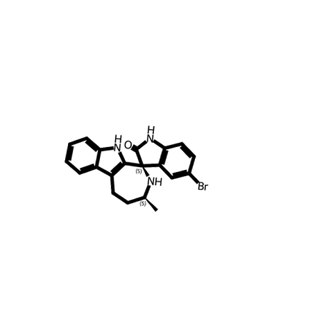 C[C@H]1CCc2c([nH]c3ccccc23)[C@]2(N1)C(=O)Nc1ccc(Br)cc12